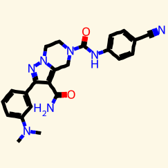 CN(C)c1cccc(-c2nn3c(c2C(N)=O)CN(C(=O)Nc2ccc(C#N)cc2)CC3)c1